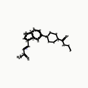 CCOC(=O)N1CCN(c2cnc3[nH]cc(/C=C/C(N)=O)c3n2)CC1